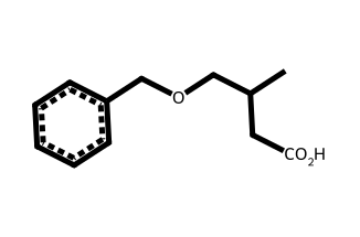 CC(COCc1ccccc1)CC(=O)O